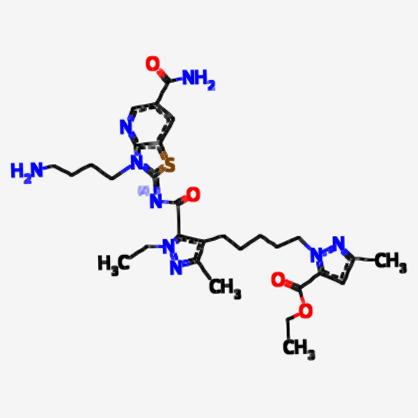 CCOC(=O)c1cc(C)nn1CCCCCc1c(C)nn(CC)c1C(=O)/N=c1\sc2cc(C(N)=O)cnc2n1CCCCN